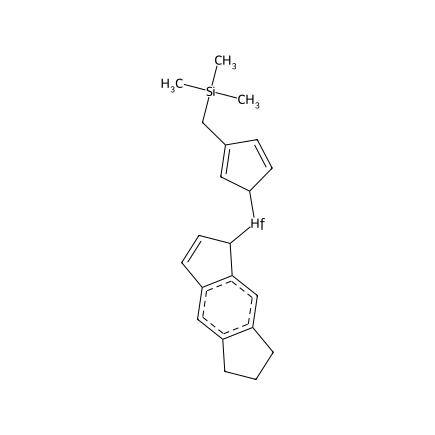 C[Si](C)(C)CC1=C[CH]([Hf][CH]2C=Cc3cc4c(cc32)CCC4)C=C1